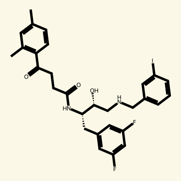 Cc1ccc(C(=O)CCC(=O)N[C@@H](Cc2cc(F)cc(F)c2)[C@H](O)CNCc2cccc(I)c2)c(C)c1